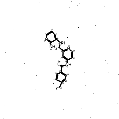 Nc1ncccc1NCc1cc(NC(=O)c2ccc(Cl)cc2)ccn1